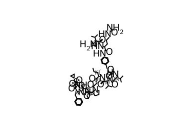 CC[C@H](C)C([C@@H](CC(=O)N1CCC[C@H]1[C@H](OC)[C@@H](C)C(=O)N[C@@H](Cc1ccccc1)C(=O)NS(=O)(=O)C1CC1)OC)N(C)C(=O)[C@@H](NC(=O)[C@H](C(C)C)N(C)C(=O)OCc1ccc(NC(=O)C(CCCNC(N)=O)NC(=O)[C@@H](N)C(C)C)cc1)C(C)C